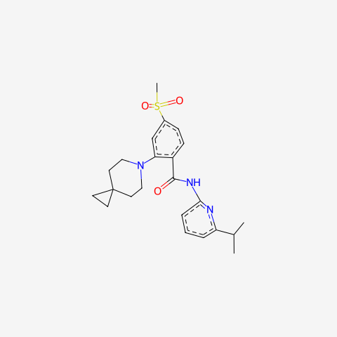 CC(C)c1cccc(NC(=O)c2ccc(S(C)(=O)=O)cc2N2CCC3(CC2)CC3)n1